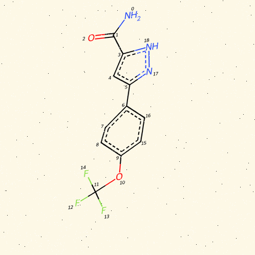 NC(=O)c1cc(-c2ccc(OC(F)(F)F)cc2)n[nH]1